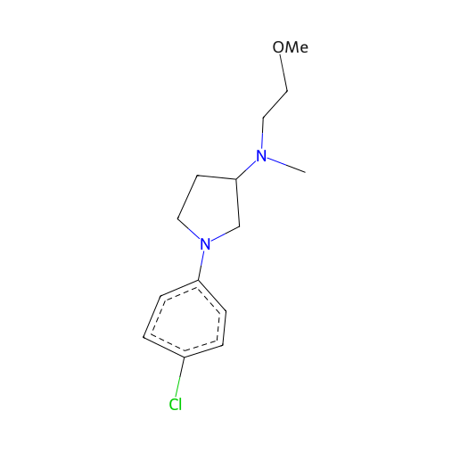 COCCN(C)C1CCN(c2ccc(Cl)cc2)C1